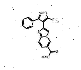 COC(=O)c1ccc2nc(-c3c(-c4ccccc4)noc3C)cn2c1